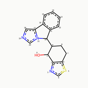 OC1c2ncsc2CCC1C1c2ccccc2-c2cncn21